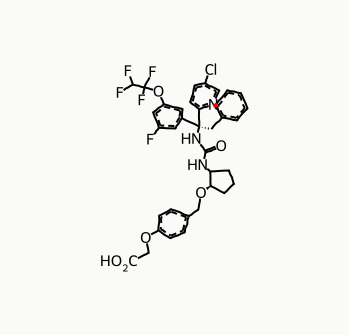 O=C(O)COc1ccc(CO[C@@H]2CCCC2NC(=O)N[C@@](Cc2ccccc2)(c2cc(F)cc(OC(F)(F)C(F)F)c2)c2ccc(Cl)cn2)cc1